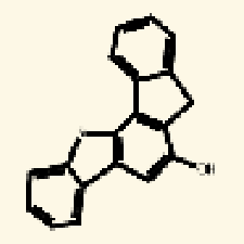 Oc1cc2c(sc3ccccc32)c2c1Cc1ccccc1-2